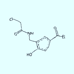 CCC(=O)c1ccc(O)c(CNC(=O)CCl)c1